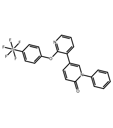 O=c1ccc(-c2cccnc2Oc2ccc(S(F)(F)(F)(F)F)cc2)cn1-c1ccccc1